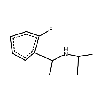 CC(C)NC(C)c1ccccc1F